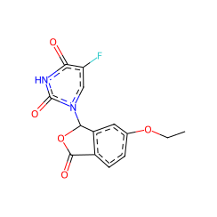 CCOc1ccc2c(c1)C(n1cc(F)c(=O)[nH]c1=O)OC2=O